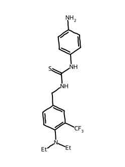 CCN(CC)c1ccc(CNC(=S)Nc2ccc(N)cc2)cc1C(F)(F)F